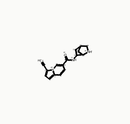 C#Cc1ccc2ccc(C(=O)NC3CC4CNC3C4)cn12